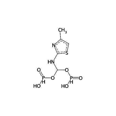 Cc1csc(NC(O[PH](=O)O)O[PH](=O)O)n1